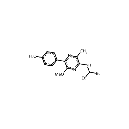 CCC(CC)Nc1nc(OC)c(-c2ccc(C)cc2)nc1C